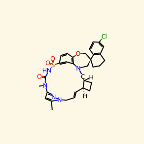 Cc1cc2nn1C/C=C/[C@@H]1CC[C@H]1CN1C[C@@]3(CCCc4cc(Cl)ccc43)COc3ccc(cc31)S(=O)(=O)NC(=O)N2C